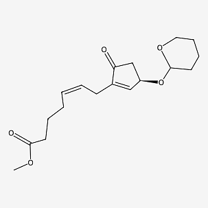 COC(=O)CCC/C=C\CC1=C[C@H](OC2CCCCO2)CC1=O